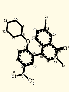 CC[S+]([O-])c1ccc(OC2CCCCC2)c(-c2cn(C)c(=O)c3cc(F)ccc23)c1